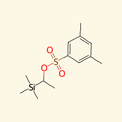 Cc1cc(C)cc(S(=O)(=O)OC(C)[Si](C)(C)C)c1